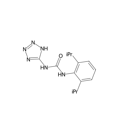 CC(C)c1cccc(C(C)C)c1NC(=O)Nc1nnn[nH]1